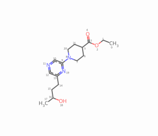 CCOC(=O)C1CCN(c2cncc(CCC(C)O)n2)CC1